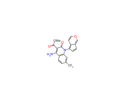 COC(=O)c1c(N)c2ccc(C(F)(F)F)cc2n(-c2ccc3coccc2-3)c1=O